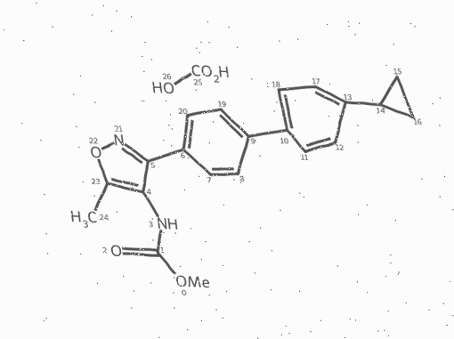 COC(=O)Nc1c(-c2ccc(-c3ccc(C4CC4)cc3)cc2)noc1C.O=C(O)O